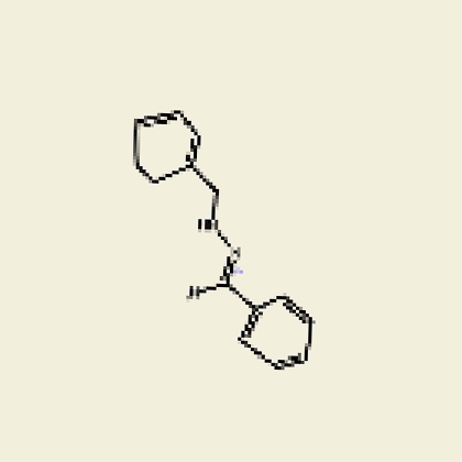 N/C(=N\NCC1=CC=CCC1)c1ccccc1